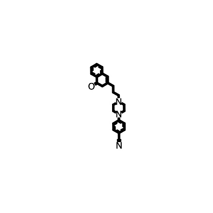 N#Cc1ccc(N2CCN(CCCC3=Cc4ccccc4C(=O)C3)CC2)cc1